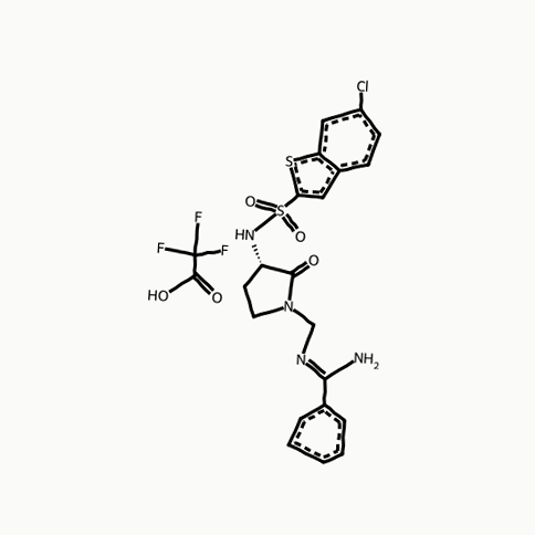 NC(=NCN1CC[C@H](NS(=O)(=O)c2cc3ccc(Cl)cc3s2)C1=O)c1ccccc1.O=C(O)C(F)(F)F